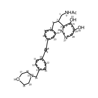 CC(=O)NCC(Cc1ccc(C#Cc2ccc(CN3CCOCC3)cc2)cc1)c1nncc(O)c1O